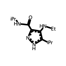 CCNc1c(C(=O)NC(C)C)n[nH]c1C(C)C